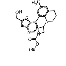 Cc1cc2c(c(-c3ccnc4cc(CO)sc34)c1)N(C1CN(C(=O)OC(C)(C)C)C1)CCC2